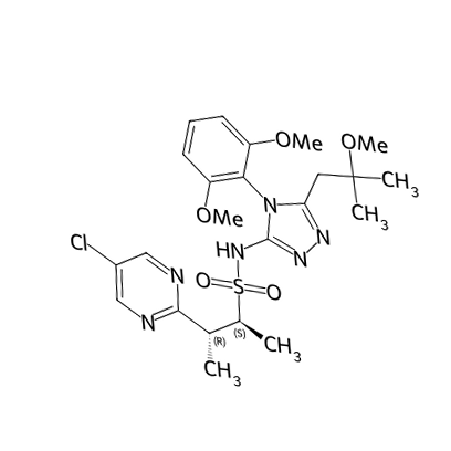 COc1cccc(OC)c1-n1c(CC(C)(C)OC)nnc1NS(=O)(=O)[C@@H](C)[C@H](C)c1ncc(Cl)cn1